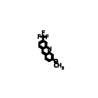 COc1ccc2cc3ccc(C(F)(F)F)cc3nc2c1